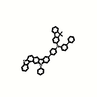 CC1(C)c2ccccc2-c2ccc(N(c3ccc(-c4ccc5c(c4)c4cc6ccc7sc8ccccc8c7c6cc4n5-c4ccccc4)cc3)c3cccc(-c4ccccc4)c3)cc21